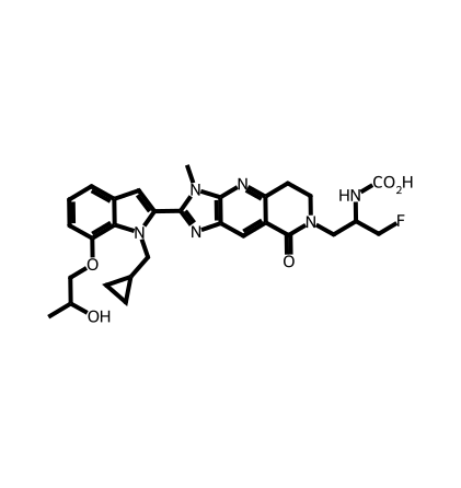 CC(O)COc1cccc2cc(-c3nc4cc5c(nc4n3C)CCN(CC(CF)NC(=O)O)C5=O)n(CC3CC3)c12